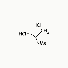 CCC(C)NC.Cl.Cl